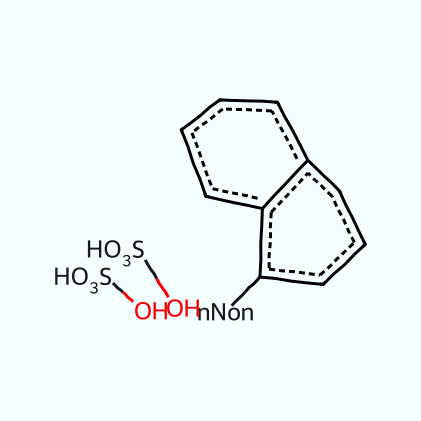 CCCCCCCCCc1cccc2ccccc12.O=S(=O)(O)O.O=S(=O)(O)O